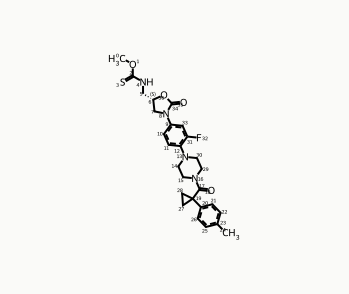 COC(=S)NC[C@H]1CN(c2ccc(N3CCN(C(=O)C4(c5ccc(C)cc5)CC4)CC3)c(F)c2)C(=O)O1